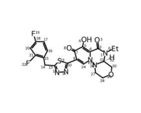 CCN1C(=O)c2c(O)c(=O)c(-c3nnc(Cc4ccc(F)cc4F)s3)cn2N2CCOC[C@H]12